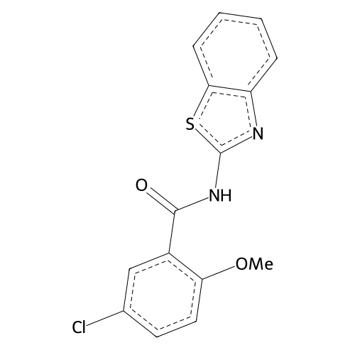 COc1ccc(Cl)cc1C(=O)Nc1nc2ccccc2s1